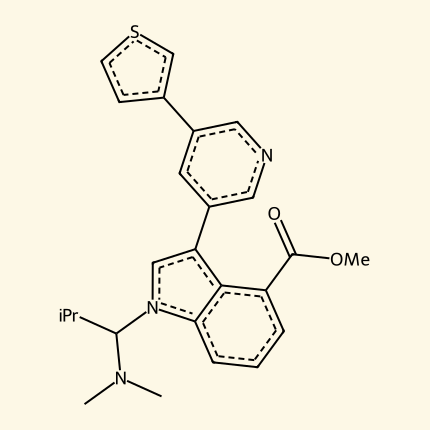 COC(=O)c1cccc2c1c(-c1cncc(-c3ccsc3)c1)cn2C(C(C)C)N(C)C